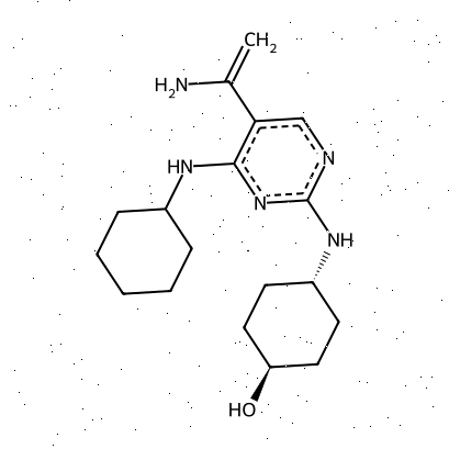 C=C(N)c1cnc(N[C@H]2CC[C@H](O)CC2)nc1NC1CCCCC1